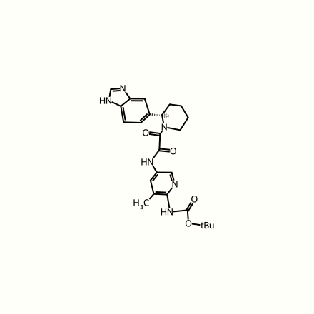 Cc1cc(NC(=O)C(=O)N2CCCC[C@H]2c2ccc3[nH]cnc3c2)cnc1NC(=O)OC(C)(C)C